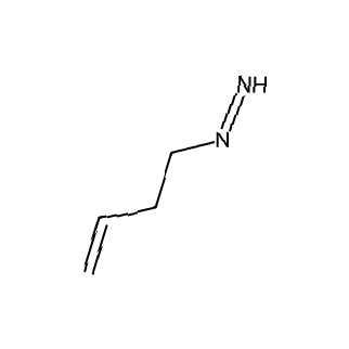 C=CCCN=N